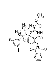 CCOC(=O)n1nc2c(c1NC(=O)c1ccccc1CN1C(=O)c3ccccc3C1=O)CN(S(=O)(=O)c1cc(F)cc(F)c1)C2(C)C